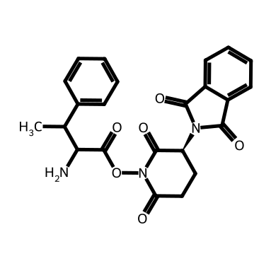 CC(c1ccccc1)C(N)C(=O)ON1C(=O)CC[C@H](N2C(=O)c3ccccc3C2=O)C1=O